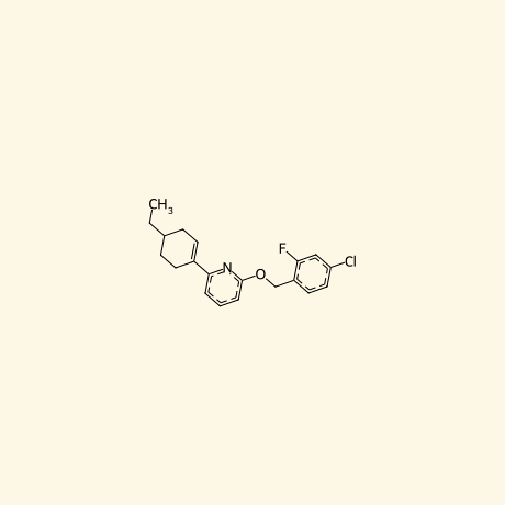 CCC1CC=C(c2cccc(OCc3ccc(Cl)cc3F)n2)CC1